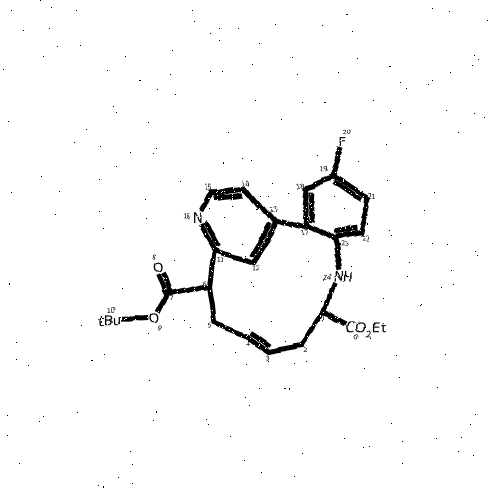 CCOC(=O)C1C/C=C/CC(C(=O)OC(C)(C)C)c2cc(ccn2)-c2cc(F)ccc2N1